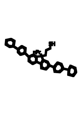 CCCC1(CCCS)c2cc(-c3ccc(-c4ccccc4)cc3)ccc2-c2ccc(-c3ccc(-c4ccccc4)cc3)cc21